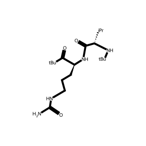 CC(C)[C@H](NC(C)(C)C)C(=O)N[C@@H](CCCNC(N)=O)C(=O)C(C)(C)C